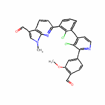 COc1cc(-c2nccc(-c3cccc(-c4ccc5c(C=O)cn(C)c5n4)c3Cl)c2Cl)ccc1C=O